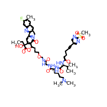 CC[C@@]1(O)C(=O)OC(CCCOCNC(=O)CNC(=O)[C@H](CCCCN(C)C)NC(=O)[C@@H](NC(=O)CCCC#Cc2cnc(S(C)(=O)=O)nc2)C(C)C)c2c1cc1n(c2=O)Cc2cc3cc(C)c(F)cc3nc2-1